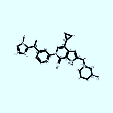 CC(c1ccnc(-n2cc(C3CC3)c3cc(CN4CCC[C@H](C)C4)[nH]c3c2=O)c1)c1nncn1C